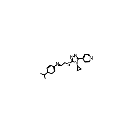 CC(C)C1C=CC(/N=C/CSc2nnc(-c3ccncc3)n2C2CC2)=CC1